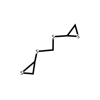 C(SC1CS1)SC1CS1